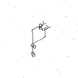 CCC(CC)COC(=O)CCCC/C=C\CCCCCCCCC(CCCCCCCC/C=C\CCCCC(=O)OCC(CC)CC)OC(=O)CCCN1CCOCC1